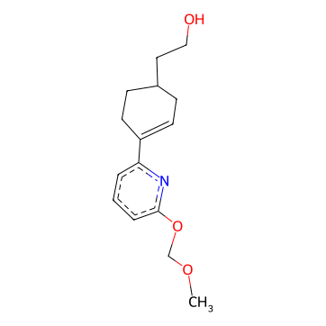 COCOc1cccc(C2=CCC(CCO)CC2)n1